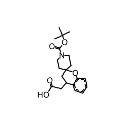 CC(C)(C)OC(=O)N1CCC2(CC1)CC(CC(=O)O)c1ccccc1O2